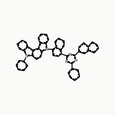 c1ccc(-c2nc(-c3ccc4ccccc4c3)nc(-c3ccc(-n4c5ccccc5c5c6c7ccccc7n(-c7ccccc7)c6ccc54)c4ccccc34)n2)cc1